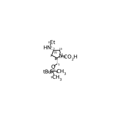 CCN[C@H]1C[C@@H](CO[Si](C)(C)C(C)(C)C)N(C(=O)O)C1